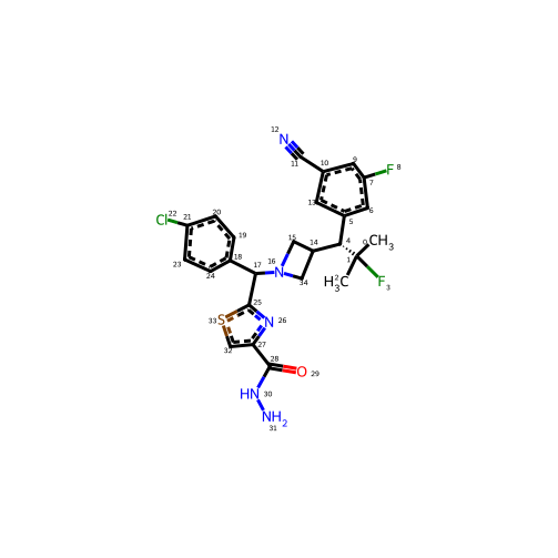 CC(C)(F)[C@@H](c1cc(F)cc(C#N)c1)C1CN(C(c2ccc(Cl)cc2)c2nc(C(=O)NN)cs2)C1